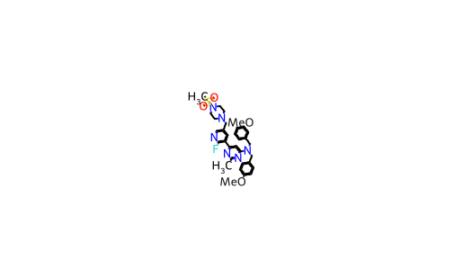 COc1ccc(CN(Cc2ccc(OC)cc2)c2cc(-c3cc(CN4CCN(S(C)(=O)=O)CC4)cnc3F)nc(C)n2)cc1